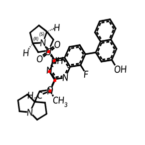 CN(C)CCNS(=O)(=O)N1[C@@H]2CC[C@H]1CN(c1nc(OCC34CCCN3CCC4)nc3c(F)c(-c4cc(O)cc5ccccc45)ccc13)C2